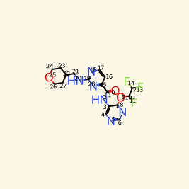 O=C(Nc1cncnc1OC(F)C(F)F)c1ccnc(NCC2CCOCC2)n1